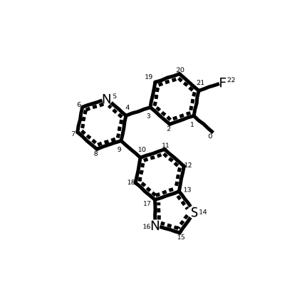 Cc1cc(-c2ncccc2-c2ccc3scnc3c2)ccc1F